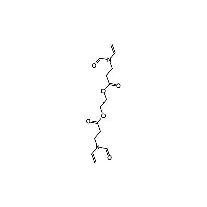 C=CN(C=O)CCC(=O)OCCOC(=O)CCN(C=C)C=O